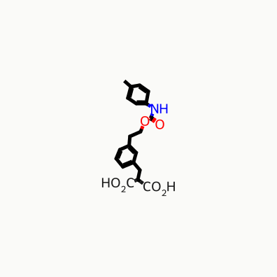 Cc1ccc(NC(=O)OCCc2cccc(CC(C(=O)O)C(=O)O)c2)cc1